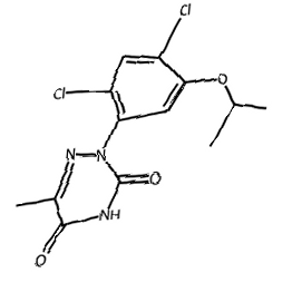 Cc1nn(-c2cc(OC(C)C)c(Cl)cc2Cl)c(=O)[nH]c1=O